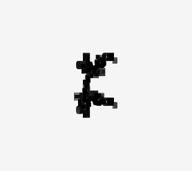 Cc1ccc(C(O)c2c[nH]c(=O)nc2NCCSSCCNc2nc(=O)[nH]cc2C(O)c2ccc(C)nc2)cn1